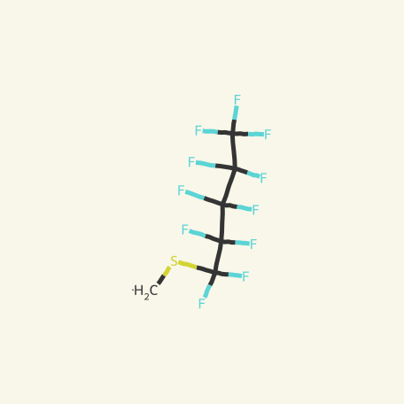 [CH2]SC(F)(F)C(F)(F)C(F)(F)C(F)(F)C(F)(F)F